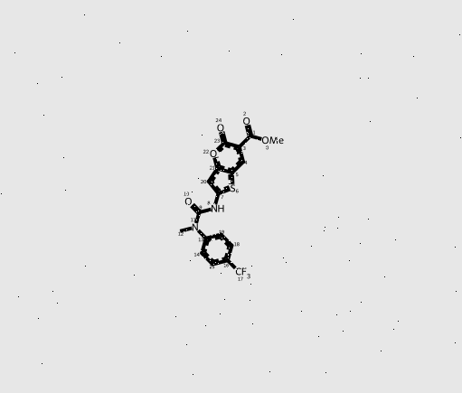 COC(=O)c1cc2sc(NC(=O)N(C)c3ccc(C(F)(F)F)cc3)cc2oc1=O